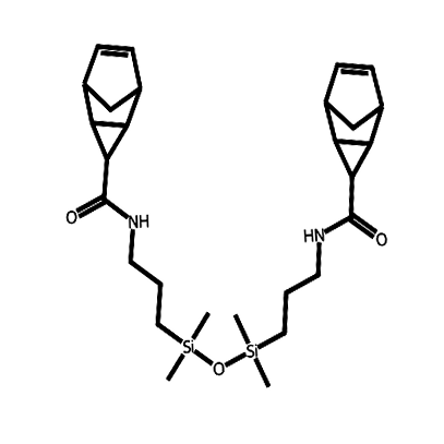 C[Si](C)(CCCNC(=O)C1C2C3C=CC(C3)C12)O[Si](C)(C)CCCNC(=O)C1C2C3C=CC(C3)C12